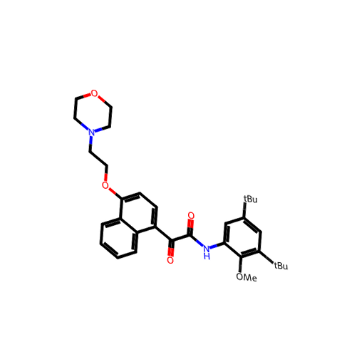 COc1c(NC(=O)C(=O)c2ccc(OCCN3CCOCC3)c3ccccc23)cc(C(C)(C)C)cc1C(C)(C)C